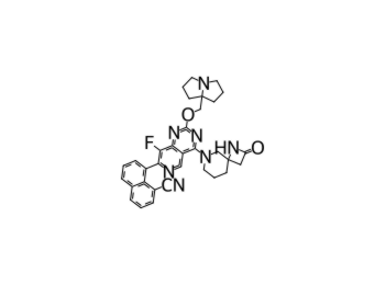 N#Cc1cccc2cccc(-c3ncc4c(N5CCCC6(CC(=O)N6)C5)nc(OCC56CCCN5CCC6)nc4c3F)c12